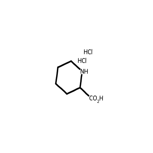 Cl.Cl.O=C(O)C1CCCCN1